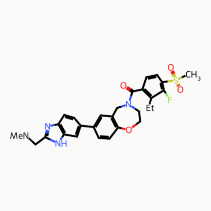 CCc1c(C(=O)N2CCOc3ccc(-c4ccc5nc(CNC)[nH]c5c4)cc3C2)ccc(S(C)(=O)=O)c1F